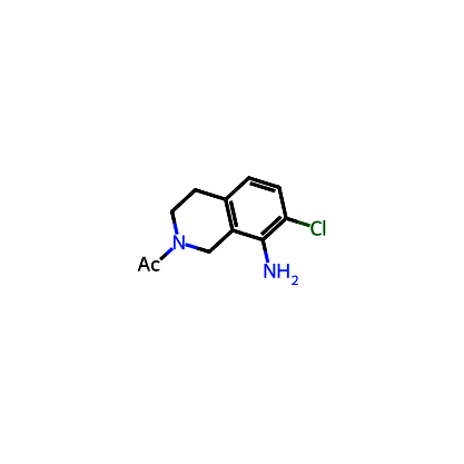 CC(=O)N1CCc2ccc(Cl)c(N)c2C1